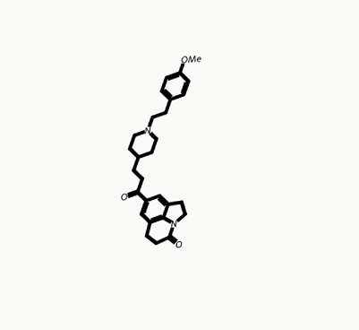 COc1ccc(CCN2CCC(CCC(=O)c3cc4c5c(c3)CCN5C(=O)CC4)CC2)cc1